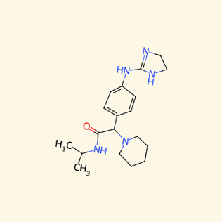 CC(C)NC(=O)C(c1ccc(NC2=NCCN2)cc1)N1CCCCC1